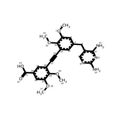 COc1cc(Cc2cnc(N)nc2N)cc(C#Cc2cc(C(=O)O)cc(OC)c2OC)c1OC